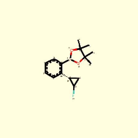 CC1(C)OB(c2ccccc2[C@@H]2CC2F)OC1(C)C